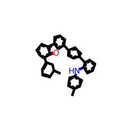 Cc1ccc(Nc2ccccc2-c2ccc(-c3cccc4c3oc3c(C5=CC=CC(C)C5)cccc34)cc2)cc1